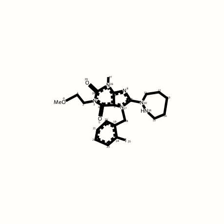 COCCn1c(=O)c2c(nc(N3CCCCCN3)n2Cc2ccccc2I)n(C)c1=O